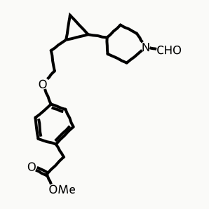 COC(=O)Cc1ccc(OCCC2CC2C2CCN(C=O)CC2)cc1